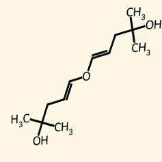 CC(C)(O)CC=COC=CCC(C)(C)O